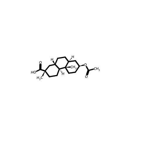 CC(=O)O[C@H]1CC[C@@]2(C)[C@@H](CC[C@H]3C[C@@](C)(C(=O)O)CC[C@@H]32)C1